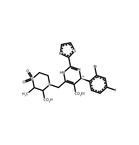 CCOC(=O)C1=C(CN2CCS(=O)(=O)C(C)C2C(=O)O)NC(c2nccs2)=N[C@H]1c1ccc(F)cc1Br